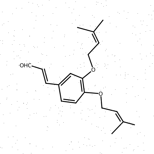 CC(C)=CCOc1ccc(C=C[C]=O)cc1OCC=C(C)C